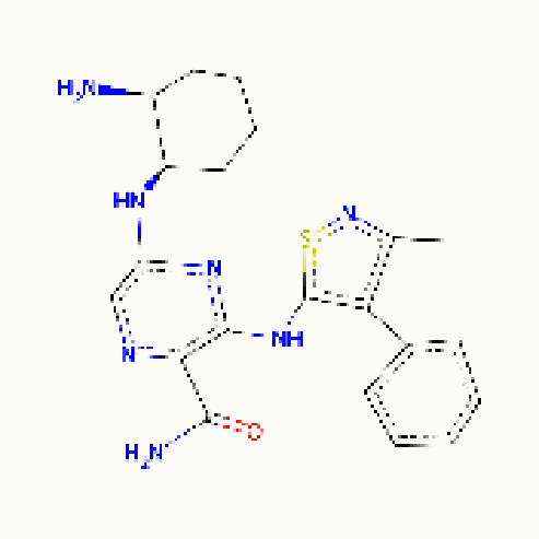 Cc1nsc(Nc2nc(N[C@@H]3CCCC[C@@H]3N)cnc2C(N)=O)c1-c1ccccc1